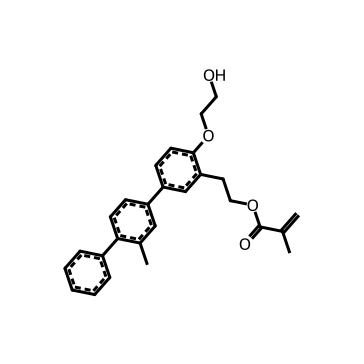 C=C(C)C(=O)OCCc1cc(-c2ccc(-c3ccccc3)c(C)c2)ccc1OCCO